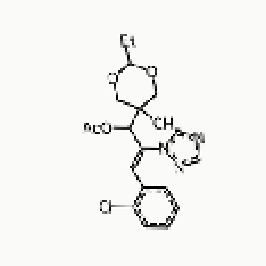 CCC1OCC(C)(C(OC(C)=O)/C(=C/c2ccccc2Cl)n2cncn2)CO1